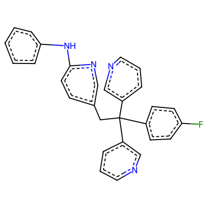 Fc1ccc(C(Cc2ccc(Nc3ccccc3)nc2)(c2cccnc2)c2cccnc2)cc1